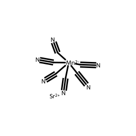 N#[C][Mn-2]([C]#N)([C]#N)([C]#N)([C]#N)[C]#N.[Sr+2]